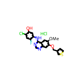 COc1cc2c(Nc3cc(O)c(Cl)cc3F)ncnc2cc1OCc1ccsc1.Cl